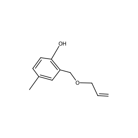 C=CCOCc1cc(C)ccc1O